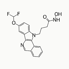 O=C(CCCn1c2ccc(OC(F)F)cc2c2ncc3ccccc3c21)NO